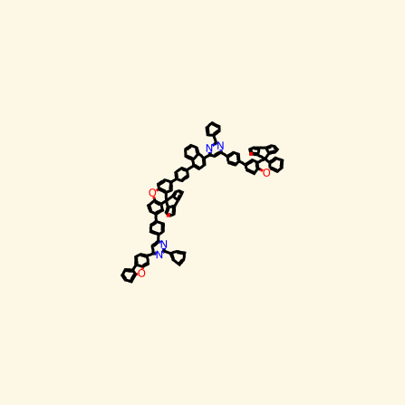 c1ccc(-c2nc(-c3ccc(-c4ccc5c(c4)C4(c6cc(-c7ccc(-c8ccc(-c9cc(-c%10ccc(-c%11ccc%12c(c%11)C%11(c%13ccccc%13O%12)c%12ccccc%12-c%12ccccc%12%11)cc%10)nc(-c%10ccccc%10)n9)c9ccccc89)cc7)ccc6O5)c5ccccc5-c5ccccc54)cc3)cc(-c3ccc4c(c3)oc3ccccc34)n2)cc1